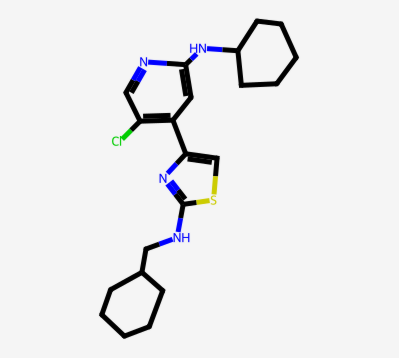 Clc1cnc(NC2CCCCC2)cc1-c1csc(NCC2CCCCC2)n1